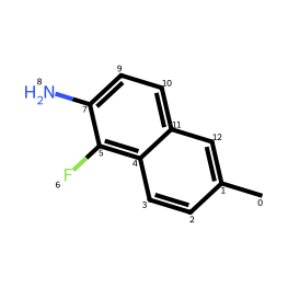 Cc1ccc2c(F)c(N)ccc2c1